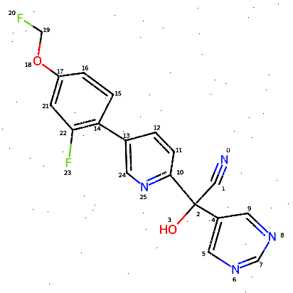 N#CC(O)(c1cncnc1)c1ccc(-c2ccc(OCF)cc2F)cn1